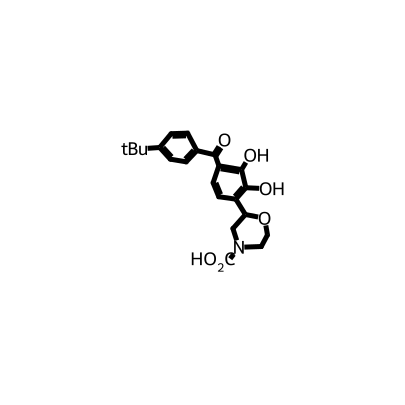 CC(C)(C)c1ccc(C(=O)c2ccc(C3CN(C(=O)O)CCO3)c(O)c2O)cc1